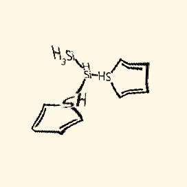 [SiH3][SiH]([SH]1C=CC=C1)[SH]1C=CC=C1